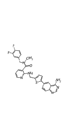 CN(Cc1ccc(F)c(F)c1)C(=O)c1cccnc1NCc1ccc(-c2ccc3ncnc(N)c3c2)s1